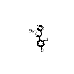 CCON=C(Cc1cncs1)c1ccc(Cl)cc1Cl